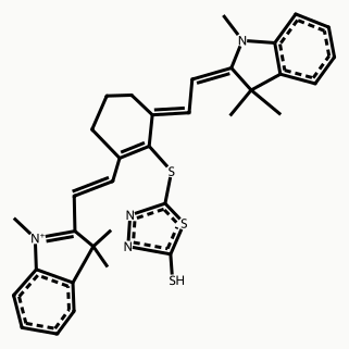 CN1/C(=C/C=C2\CCCC(/C=C/C3=[N+](C)c4ccccc4C3(C)C)=C2Sc2nnc(S)s2)C(C)(C)c2ccccc21